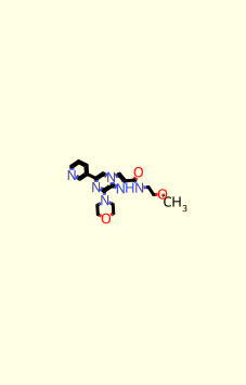 COCCNC(=O)c1cn2cc(-c3cccnc3)nc(N3CCOCC3)c2n1